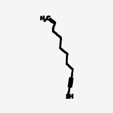 C=CCCCCCCC#CS